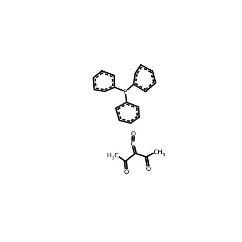 CC(=O)C(=C=O)C(C)=O.c1ccc(P(c2ccccc2)c2ccccc2)cc1